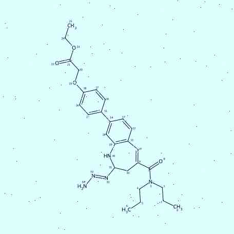 CCCN(CCC)C(=O)C1=Cc2ccc(-c3ccc(OCC(=O)OCC)cc3)cc2NC(N=NN)C1